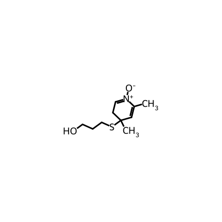 CC1=CC(C)(SCCCO)CC=[N+]1[O-]